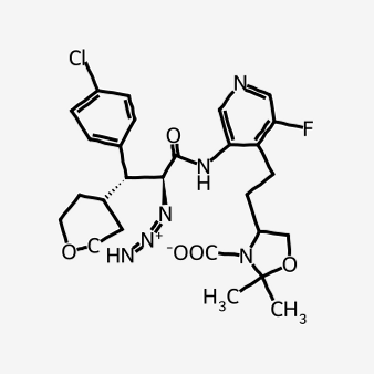 CC1(C)OCC(CCc2c(F)cncc2NC(=O)[C@@H](N=[N+]=N)[C@@H](c2ccc(Cl)cc2)C2CCOCC2)N1C(=O)[O-]